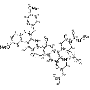 COc1ccc(CN(Cc2ccc(OC)cc2)c2cc(C)c(C(F)(F)F)c(-c3c(Cl)cc4c5c6c(nc4c3F)O[C@H](CN(C)C)CN6C(=C=O)[C@H]3CN(C(=O)OC(C)(C)C)[C@H](C)CN53)n2)cc1